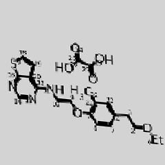 CCOCCc1ccc(OCCNc2ncnc3sccc23)c(C)c1.O=C(O)C(=O)O